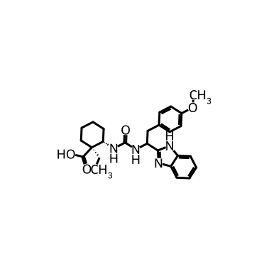 CC[C@]1(C(=O)O)CCCC[C@@H]1NC(=O)NC(Cc1ccc(OC)cc1)c1nc2ccccc2[nH]1